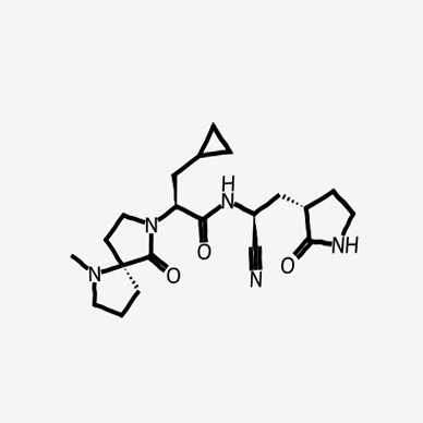 CN1CCC[C@@]12CCN([C@@H](CC1CC1)C(=O)N[C@H](C#N)C[C@@H]1CCNC1=O)C2=O